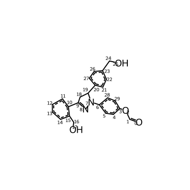 O=COc1ccc(N2N=C(c3ccccc3CO)CC2c2ccc(CO)cc2)cc1